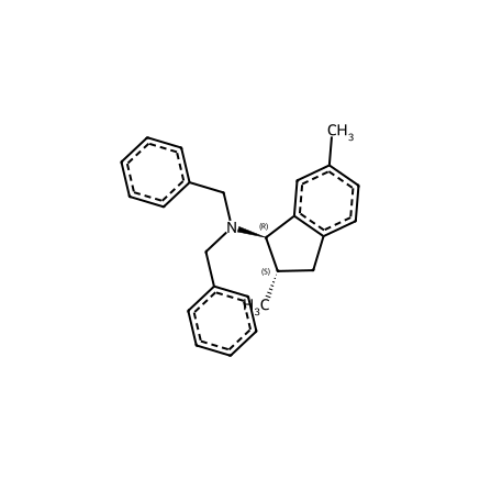 Cc1ccc2c(c1)[C@H](N(Cc1ccccc1)Cc1ccccc1)[C@@H](C)C2